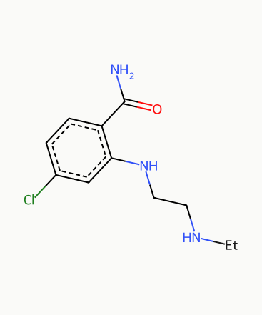 CCNCCNc1cc(Cl)ccc1C(N)=O